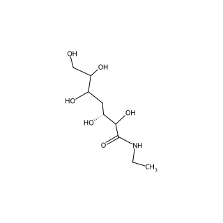 CCNC(=O)C(O)[C@H](O)CC(O)C(O)CO